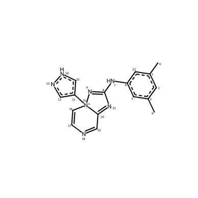 Cc1cc(C)cc(NC2=N[N+]3(c4cn[nH]c4)C=CN=CC3=N2)c1